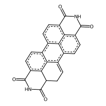 O=C1NC(=O)C2CC=c3c4ccc5c6c(ccc(c7ccc1c2c37)c64)C(=O)NC5=O